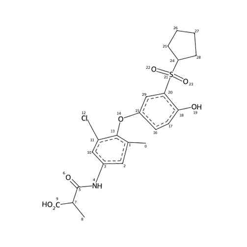 Cc1cc(NC(=O)C(C)C(=O)O)cc(Cl)c1Oc1ccc(O)c(S(=O)(=O)C2CCCC2)c1